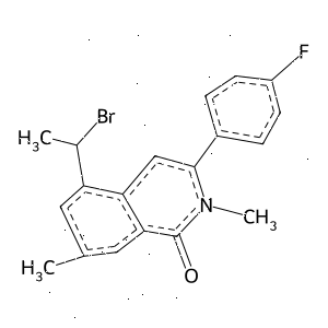 Cc1cc(C(C)Br)c2cc(-c3ccc(F)cc3)n(C)c(=O)c2c1